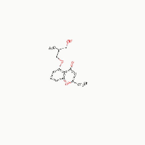 CCOC(=O)c1cc(=O)c2c(OCC(CO)OC(C)=O)cccc2o1